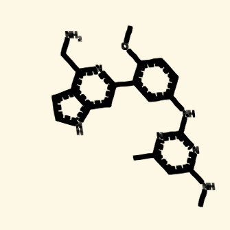 CNc1cc(C)nc(Nc2ccc(OC)c(-c3cc4[nH]ccc4c(CN)n3)c2)n1